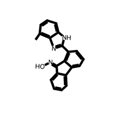 Cc1cccc2[nH]c(-c3cccc4c3C(=NO)c3ccccc3-4)nc12